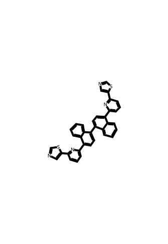 c1cc(-c2cncs2)nc(-c2ccc(-c3ccc(-c4cccc(-c5cncs5)n4)c4ccccc34)c3ccccc23)c1